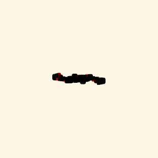 CCC1(COCCCCOc2ccc(C(=O)Oc3ccc(OC(=O)c4ccc(OCCCCOCC5(CC)COC5)cc4)cc3)cc2)COC1